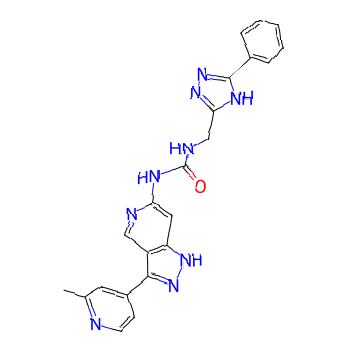 Cc1cc(-c2n[nH]c3cc(NC(=O)NCc4nnc(-c5ccccc5)[nH]4)ncc23)ccn1